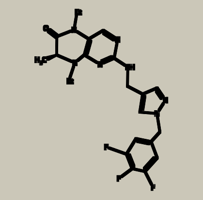 CCN1C(=O)[C@H](C)N(CC)c2nc(NCc3cnn(Cc4cc(F)c(F)c(F)c4)c3)ncc21